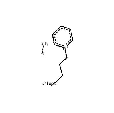 CCCCCCCCCC[n+]1ccccc1.N#C[S-]